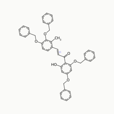 Cc1c(/C=C/C(=O)c2c(O)cc(OCc3ccccc3)cc2OCc2ccccc2)ccc(OCc2ccccc2)c1OCc1ccccc1